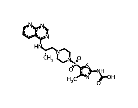 Cc1nc(NC(=O)O)sc1S(=O)(=O)N1CCN(C[C@H](C)Nc2ncnc3ncccc23)CC1